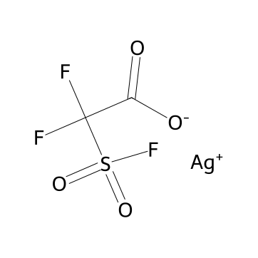 O=C([O-])C(F)(F)S(=O)(=O)F.[Ag+]